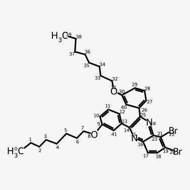 CCCCCCCCOc1cccc(-c2nc3ccc(Br)c(Br)c3nc2-c2cccc(OCCCCCCCC)c2)c1